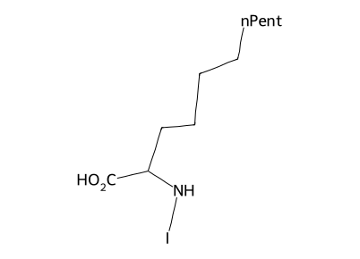 CCCCCCCCCC(NI)C(=O)O